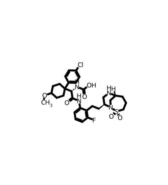 COC1CCC(c2ccc(Cl)cc2)([C@H](NC(=O)O)C(=O)Nc2cccc(F)c2CC[C@H]2CN[C@@H]3CCCS(=O)(=O)N2C3)CC1